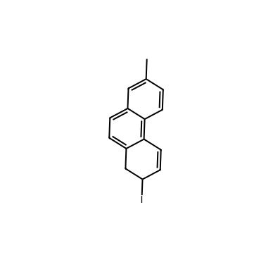 Cc1ccc2c3c(ccc2c1)CC(I)C=C3